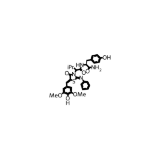 COc1cc(/C=C2\S/C(=N\c3ccccc3)N(C(C(=O)N[C@@H](Cc3ccc(O)cc3)C(N)=O)C(C)C)C2=O)cc(OC)c1O